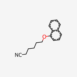 N#CCCCCCOc1cccc2ccccc12